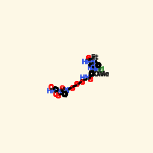 CCC1C(=O)Nc2cnc(Nc3ccc(C(=O)NCCOCCOCCOCCNc4cccc5c4C(=O)N(C4CCC(=O)NC4=O)C5=O)cc3OC)nc2N1Cc1ccc(Cl)cc1